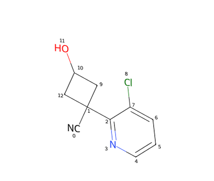 N#CC1(c2ncccc2Cl)CC(O)C1